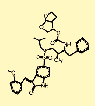 COc1ccccc1C=C1C(=O)Nc2ccc(S(=O)(=O)N(CC(C)C)CC(O)C(Cc3ccccc3)NC(=O)OC3COC4OCCC34)cc21